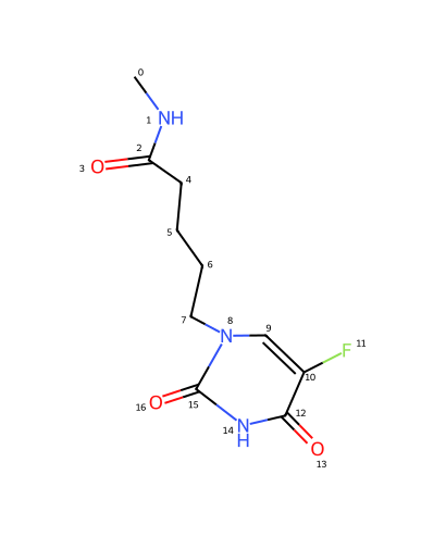 CNC(=O)CCCCn1cc(F)c(=O)[nH]c1=O